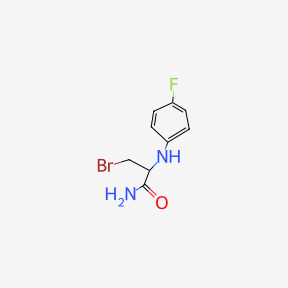 NC(=O)C(CBr)Nc1ccc(F)cc1